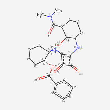 CN(C)C(=O)C1CCCC(Nc2c(N[C@@H]3CCCC[C@H]3OC(=O)c3ccccc3)c(=O)c2=O)C1O